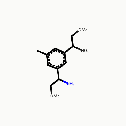 COCC(N)c1cc(C)cc(C(COC)[N+](=O)[O-])c1